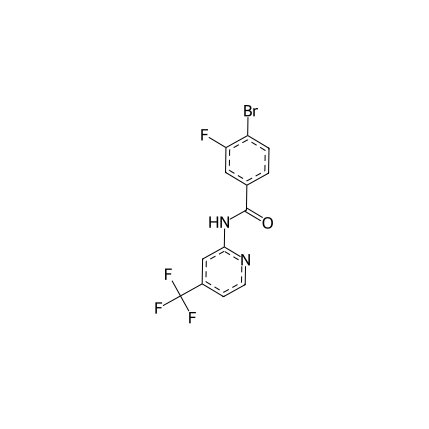 O=C(Nc1cc(C(F)(F)F)ccn1)c1ccc(Br)c(F)c1